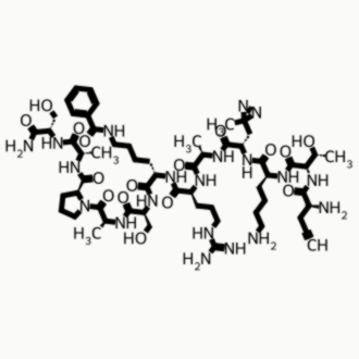 C#CC[C@H](N)C(=O)N[C@H](C(=O)N[C@@H](CCCCN)C(=O)N[C@@H](CC1(C)N=N1)C(=O)N[C@@H](C)C(=O)N[C@@H](CCCNC(=N)N)C(=O)N[C@@H](CCCCNC(=O)c1ccccc1)C(=O)N[C@@H](CO)C(=O)N[C@@H](C)C(=O)N1CCC[C@H]1C(=O)N[C@@H](C)C(=O)N[C@@H](CO)C(N)=O)[C@@H](C)O